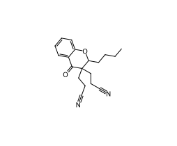 CCCCC1Oc2ccccc2C(=O)C1(CCC#N)CCC#N